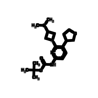 CN(C)C1CN(c2nc(NC(=O)OC(C)(C)C)ccc2C2CCOC2)C1